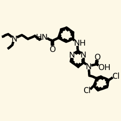 CCN(CC)CCCCNC(=O)c1cccc(Nc2nccc(N(Cc3cc(Cl)ccc3Cl)C(=O)O)n2)c1